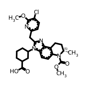 COC(=O)N1c2ccc3c(nc(Cc4ccc(Cl)c(OC)n4)n3C3CCCC(C(=O)O)C3)c2CC[C@@H]1C